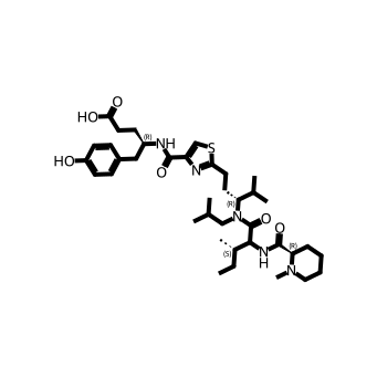 CC[C@H](C)C(NC(=O)[C@H]1CCCCN1C)C(=O)N(CC(C)C)[C@H](CCc1nc(C(=O)N[C@H](CCC(=O)O)Cc2ccc(O)cc2)cs1)C(C)C